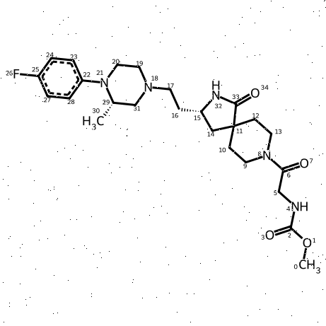 COC(=O)NCC(=O)N1CCC2(CC1)C[C@H](CCN1CCN(c3ccc(F)cc3)[C@@H](C)C1)NC2=O